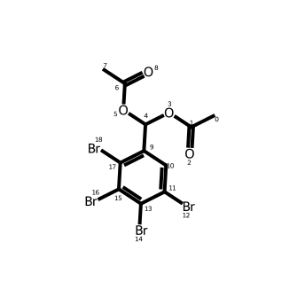 CC(=O)OC(OC(C)=O)c1cc(Br)c(Br)c(Br)c1Br